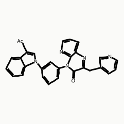 CC(=O)c1cn(-c2cccc(-n3c(=O)c(Cc4cccnc4)nc4cccnc43)c2)c2ccccc12